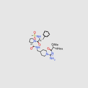 CCCCCCC(OC)C(=O)/N=C(/N)N1CCC(CNC(=O)[C@@H]2CCCN2C(=O)[C@@H](Cc2ccccc2)NS(C)(=O)=O)CC1